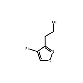 CCc1[c]onc1CCO